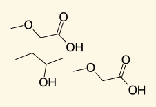 CCC(C)O.COCC(=O)O.COCC(=O)O